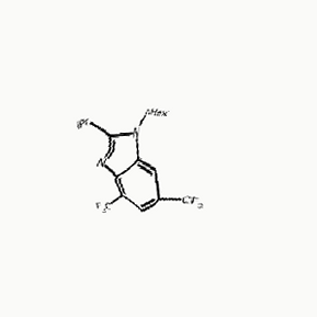 CCCCCCn1c(C(C)C)nc2c(C(F)(F)F)cc(C(F)(F)F)cc21